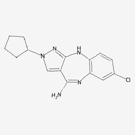 NC1=Nc2cc(Cl)ccc2Nc2nn(C3CCCC3)cc21